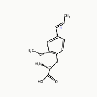 C/C=C/c1ccc(C[C@H](N)C(=O)O)c(OC)c1